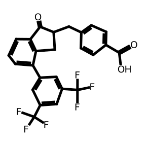 O=C(O)c1ccc(CC2Cc3c(cccc3-c3cc(C(F)(F)F)cc(C(F)(F)F)c3)C2=O)cc1